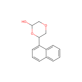 OC1COCC(c2cccc3ccccc23)O1